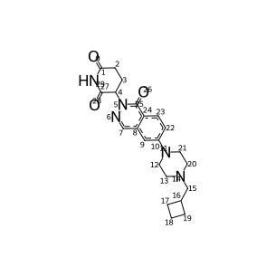 O=C1CCC(n2ncc3cc(N4CCN(CC5CCC5)CC4)ccc3c2=O)C(=O)N1